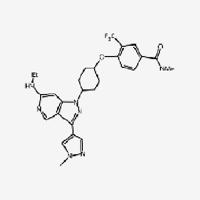 CCNc1cc2c(cn1)c(-c1cnn(C)c1)nn2C1CCC(Oc2ccc(C(=O)NC)cc2C(F)(F)F)CC1